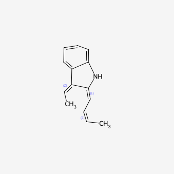 C\C=C/C=c1/[nH]c2ccccc2/c1=C/C